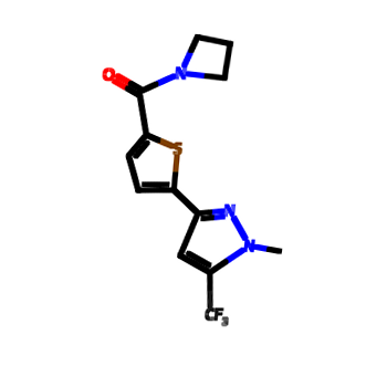 Cn1nc(-c2ccc(C(=O)N3CCC3)s2)cc1C(F)(F)F